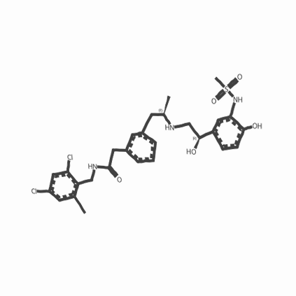 Cc1cc(Cl)cc(Cl)c1CNC(=O)Cc1cccc(C[C@@H](C)NC[C@H](O)c2ccc(O)c(NS(C)(=O)=O)c2)c1